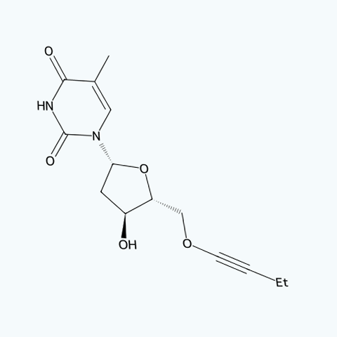 CCC#COC[C@H]1O[C@@H](n2cc(C)c(=O)[nH]c2=O)C[C@@H]1O